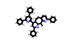 CC1c2nc(-c3ccccc3)ccc2C=CC2C(c3cc(-c4ccccc4)cc(-c4ccccc4)n3)=CC(c3ccccc3)=NC21